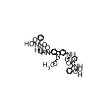 COCCn1c2cc(NC(=O)[C@@H]3CCCN3C(=O)C(NC(=O)O)c3ccccc3)ccc2c2ccc(NC(=O)[C@@H]3CCCN3C(=O)C(NC(=O)O)c3ccccc3)cc21